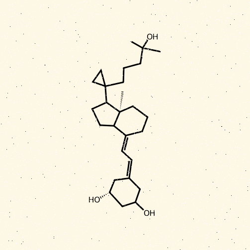 CC(C)(O)CCCC1(C2CCC3/C(=C/C=C4/CC(O)C[C@H](O)C4)CCC[C@@]32C)CC1